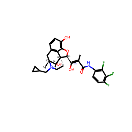 C/C(C(=O)Nc1ccc(F)c(F)c1F)=C(/O)[C@@H]1Oc2c(O)ccc3c2[C@@]12CCN(CC1CC1)[C@H](C3)[C@@]2(C)O